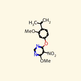 C=C(C)c1ccc(Oc2ncnc(OC)c2[N+](=O)[O-])cc1OC